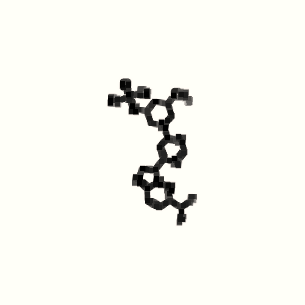 CCS(=O)(CC)=NC1CC(C)CN(c2cc(-c3cnc4ccc(C(F)F)nn34)ncn2)C1